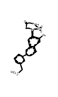 O=C(O)Cc1cccc(-c2ccc3cc(O)c(N4CC(=O)NS4(=O)=O)cc3c2)c1